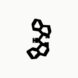 c1ccc2c(Nc3nccc4ccccc34)nccc2c1